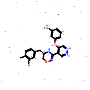 Cc1ccc(C[C@@H]2CON=C(c3cnncc3Oc3cccc(C(F)(F)F)c3)N2)cc1C